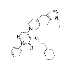 CCn1ncc(CN2CCN(c3cnn(-c4ccccc4)c(=O)c3OCCC3CCCCC3)CC2)c1C